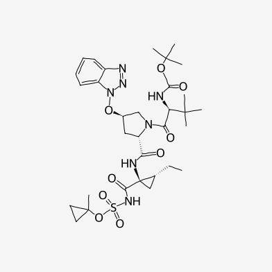 CC[C@@H]1C[C@]1(NC(=O)[C@@H]1C[C@@H](On2nnc3ccccc32)CN1C(=O)[C@@H](NC(=O)OC(C)(C)C)C(C)(C)C)C(=O)NS(=O)(=O)OC1(C)CC1